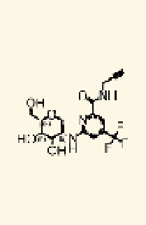 C#CCNC(=O)c1cc(C(F)(F)F)cc(N[C@H]2CO[C@H](CO)[C@H](O)[C@@H]2O)n1